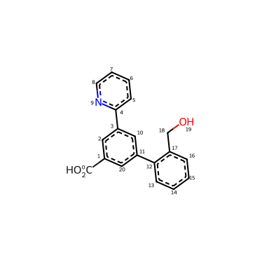 O=C(O)c1cc(-c2ccccn2)cc(-c2ccccc2CO)c1